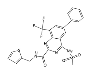 CS(=O)(=O)Nc1nc(C(=O)NCc2cccs2)nc2c(C(F)(F)F)cc(-c3ccccc3)cc12